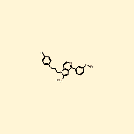 CC(C)Oc1cccc(-c2nccc3c2cc(C(=O)O)n3CCOc2ccc(Cl)cc2)c1